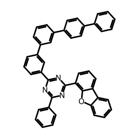 c1ccc(-c2ccc(-c3cccc(-c4cccc(-c5nc(-c6ccccc6)nc(-c6cccc7c6oc6ccccc67)n5)c4)c3)cc2)cc1